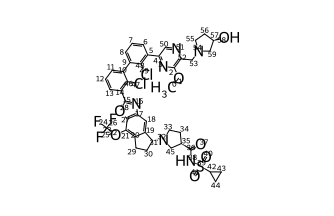 COc1nc(-c2cccc(-c3cccc(-c4nc5cc6c(c(OC(F)(F)F)c5o4)CC[C@H]6N4CC[C@@H](C(=O)NS(=O)(=O)C5CC5)C4)c3Cl)c2Cl)cnc1CN1CC[C@@H](O)C1